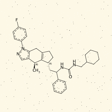 C[C@@H]1C2=C(CC[C@@H]2CC(NC(=O)NCC2CCCCC2)c2ccccc2)Cc2c1cnn2-c1ccc(F)cc1